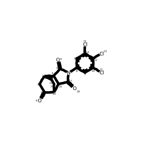 O=C1CC2=C3C(=O)N(c4cc(Cl)c(Cl)c(Cl)c4)C(=O)C3C1CC2